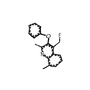 Cc1nc2c(C)cccc2c(CF)c1Oc1ccccc1